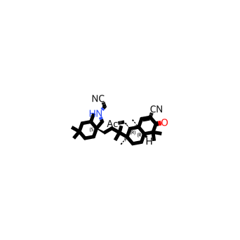 CC(=O)C[C@@H]1[C@@]2(C)C=C(C#N)C(=O)C(C)(C)[C@@H]2CC[C@@]1(C)C(C)(C)CC[C@@]1(CNCC#N)CCC(C)(C)CC1C